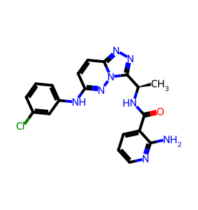 C[C@@H](NC(=O)c1cccnc1N)c1nnc2ccc(Nc3cccc(Cl)c3)nn12